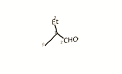 [CH2]C([C]=O)CC